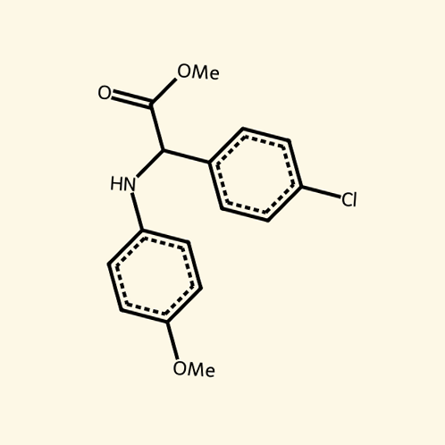 COC(=O)C(Nc1ccc(OC)cc1)c1ccc(Cl)cc1